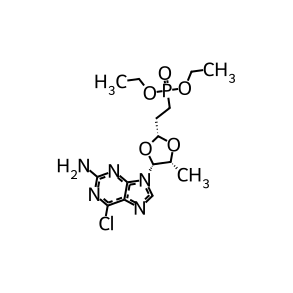 CCOP(=O)(CC[C@H]1O[C@@H](n2cnc3c(Cl)nc(N)nc32)[C@@H](C)O1)OCC